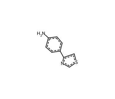 Nc1ccc(-c2cscn2)cc1